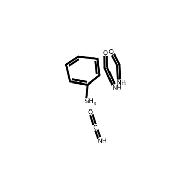 N=C=O.N=C=O.N=C=O.[SiH3]c1ccccc1